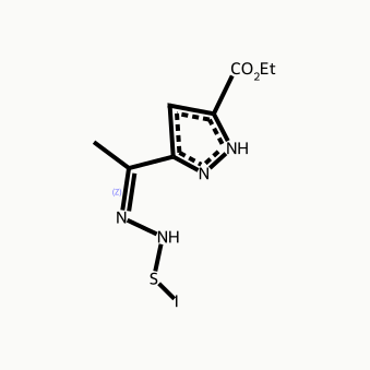 CCOC(=O)c1cc(/C(C)=N\NSI)n[nH]1